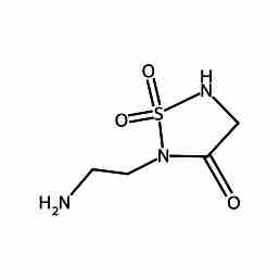 NCCN1C(=O)CNS1(=O)=O